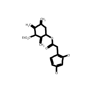 C=C1CC(OC(=O)Cc2ccc(Cl)cc2Cl)C(=C)C(C(=O)OCC)C1=C